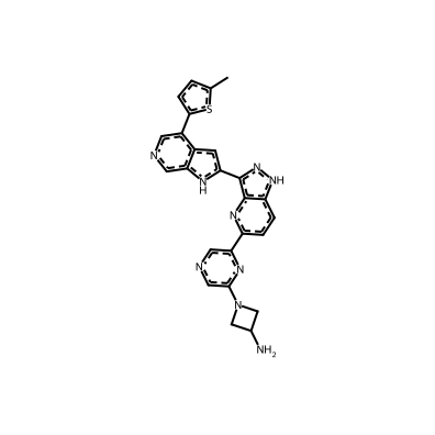 Cc1ccc(-c2cncc3[nH]c(-c4n[nH]c5ccc(-c6cncc(N7CC(N)C7)n6)nc45)cc23)s1